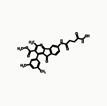 COC(=O)c1c(C)nc2c(c1-c1cc(C)cc(C)c1)C(=O)c1ccc(NC(=O)CCC(=O)NO)cc1-2